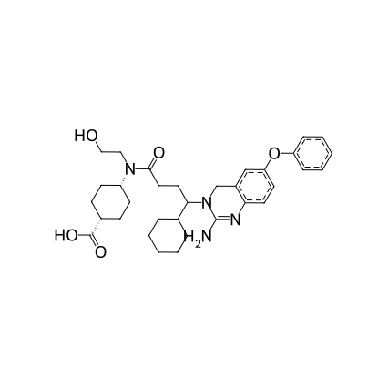 NC1=Nc2ccc(Oc3ccccc3)cc2CN1C(CCC(=O)N(CCO)[C@H]1CC[C@@H](C(=O)O)CC1)C1CCCCC1